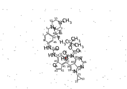 CN1CCN(Cc2ccc(NC(=O)Nc3ccc(-c4cn(C5CC5)c5ncnc(N(C(=O)O)C(=O)OC(C)(C)C)c45)c4ccoc34)cc2C(F)(F)F)CC1